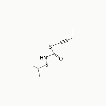 CCC#CSC(=O)NSC(C)C